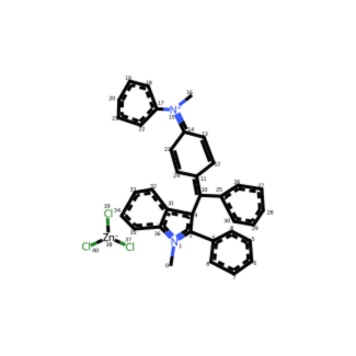 Cn1c(-c2ccccc2)c(C(=C2C=CC(=[N+](C)c3ccccc3)C=C2)c2ccccc2)c2ccccc21.[Cl][Zn-]([Cl])[Cl]